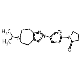 CC(C)N1CCc2cn(-c3ccc(N4CCCC4=O)nc3)nc2CC1